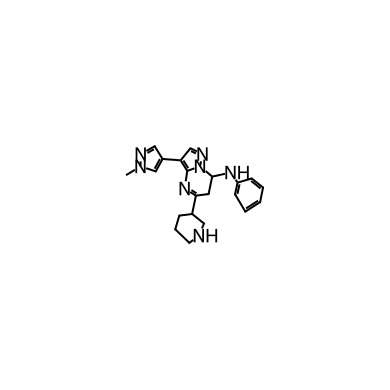 Cn1cc(-c2cnn3c2N=C(C2CCCNC2)CC3Nc2ccccc2)cn1